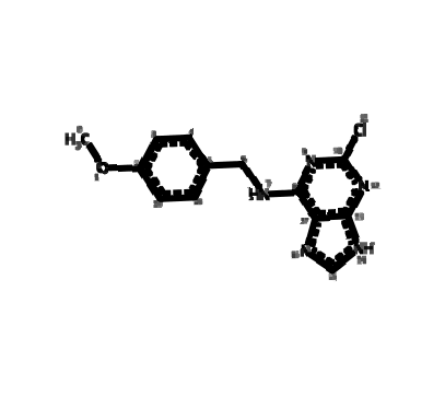 COc1ccc(CNc2nc(Cl)nc3[nH]cnc23)cc1